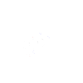 O=C1c2cccc3c2C(=NS3(=O)=O)c2ccc(NC3CCCCC3)c(NC3CCCCC3)c21